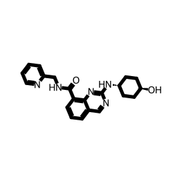 O=C(NCc1ccccn1)c1cccc2cnc(N[C@H]3CC[C@H](O)CC3)nc12